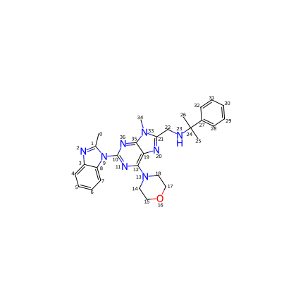 Cc1nc2ccccc2n1-c1nc(N2CCOCC2)c2nc(CNC(C)(C)c3ccccc3)n(C)c2n1